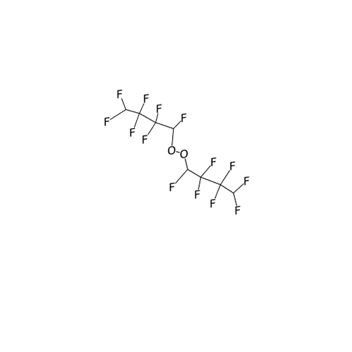 FC(F)C(F)(F)C(F)(F)C(F)OOC(F)C(F)(F)C(F)(F)C(F)F